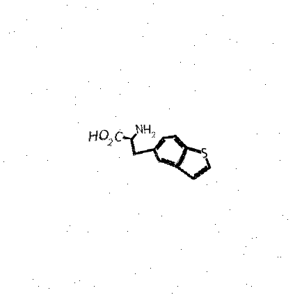 N[C@@H](Cc1ccc2sccc2c1)C(=O)O